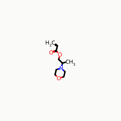 C=CC(=O)OCC(C)N1CCOCC1